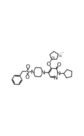 C[C@H]1CC[C@H](Oc2c(N3CCN(S(=O)(=O)Cc4ccccc4)CC3)cnn(C3CCCC3)c2=O)C1